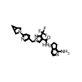 Nc1nccc2c1CC[C@H]2NC(=O)c1cn(Cc2ccc(N3CC4CC4C3)nc2)nc1C(F)(F)F